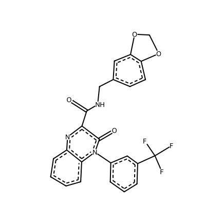 O=C(NCc1ccc2c(c1)OCO2)c1nc2ccccc2n(-c2cccc(C(F)(F)F)c2)c1=O